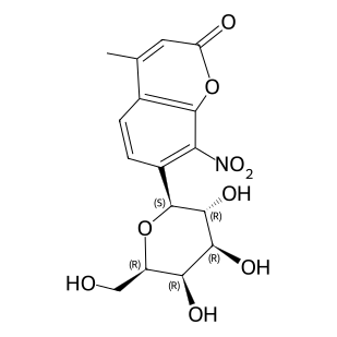 Cc1cc(=O)oc2c([N+](=O)[O-])c([C@@H]3O[C@H](CO)[C@H](O)[C@H](O)[C@H]3O)ccc12